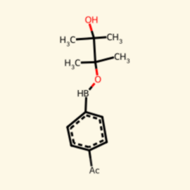 CC(=O)c1ccc(BOC(C)(C)C(C)(C)O)cc1